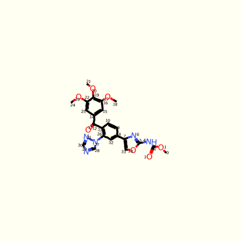 COC(=O)Nc1nc(-c2ccc(C(=O)c3cc(OC)c(OC)c(OC)c3)c(-n3cncn3)c2)co1